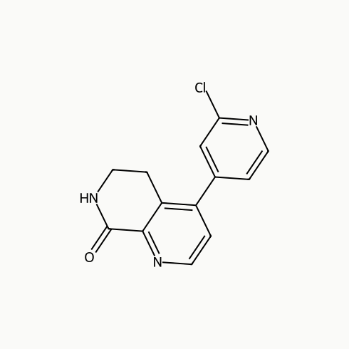 O=C1NCCc2c(-c3ccnc(Cl)c3)ccnc21